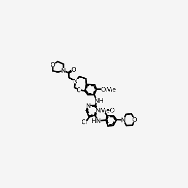 COc1cc2c(cc1Nc1ncc(Cl)c(Nc3ccc(N4CCOCC4)cc3OC)n1)CCN(CC(=O)N1CCOCC1)CC2